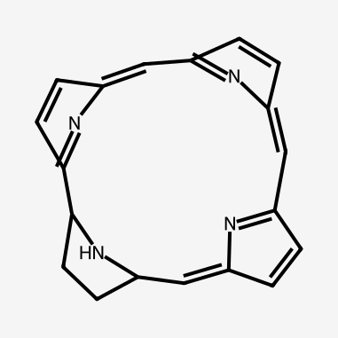 C1=CC2=NC1=CC1CCC(N1)C1=NC(=CC3=NC(=C2)C=C3)C=C1